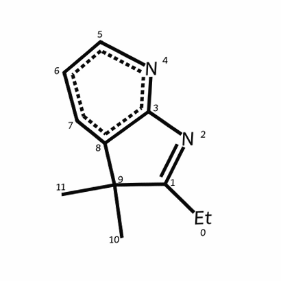 CCC1=Nc2ncccc2C1(C)C